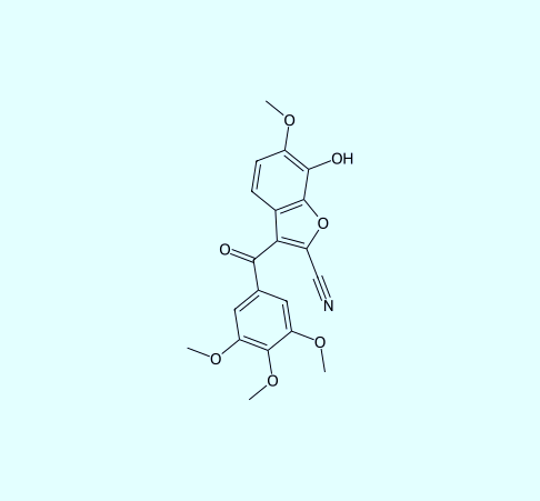 COc1cc(C(=O)c2c(C#N)oc3c(O)c(OC)ccc23)cc(OC)c1OC